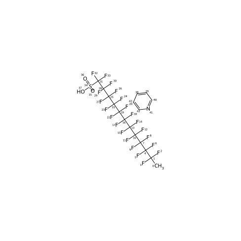 CC(F)(F)C(F)(F)C(F)(F)C(F)(F)C(F)(F)C(F)(F)C(F)(F)C(F)(F)C(F)(F)C(F)(F)C(F)(F)S(=O)(=O)O.c1ccncc1